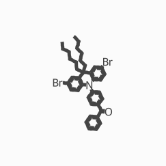 CCCCCCC1(CCCCCC)c2cc(Br)ccc2N(c2ccc(C(=O)c3ccccc3)cc2)c2ccc(Br)cc21